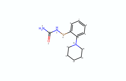 NC(=O)NSc1ccccc1N1CCCCC1